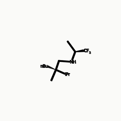 CCCC[C@](C)(CN[C@@H](C)C(F)(F)F)C(C)C